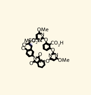 CCOC(=O)/C(Cl)=C/c1cc(N2C(=O)C3=C(CCCC3)C2=O)ccc1Cl.COc1cc(OC)nc(Oc2cccc(Oc3nc(OC)cc(OC)n3)c2C(=O)O)n1